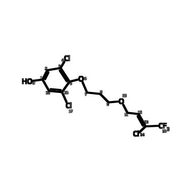 Oc1cc(Cl)c(OCCCOCC=C(Cl)C(F)(F)F)c(Cl)c1